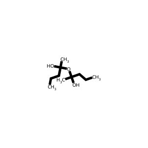 CCCC(C)(O)OC(C)(O)CCC